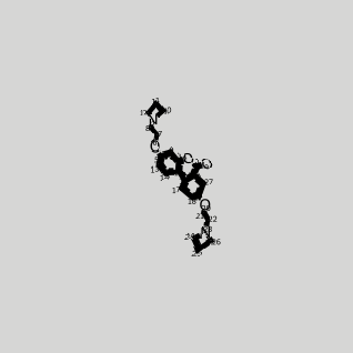 O=c1oc2cc(OCCN3CCC3)ccc2c2ccc(OCCN3CCC3)cc12